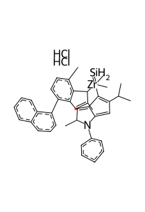 CC1=Cc2c(-c3cccc4ccccc34)ccc(C)c2[CH]1[Zr]([CH3])([CH3])(=[SiH2])[C]1=C(C(C)C)C=C2C1=CC(C)N2c1ccccc1.Cl.Cl